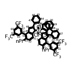 CCCc1ccc2c(c1-c1cc(C(F)(F)F)cc(C(F)(F)F)c1)C=C(c1ccccc1)[CH]2[Zr]([Cl])([Cl])([c]1cccc2c1[SiH2]c1ccccc1-2)[CH]1C(c2ccccc2)=Cc2c1ccc(CCC)c2-c1cc(C(F)(F)F)cc(C(F)(F)F)c1